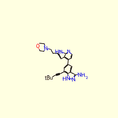 CC(C)(C)C#Cc1cc(-c2ccnc3[nH]c(CCN4CCOCC4)cc23)cc2c(N)n[nH]c12